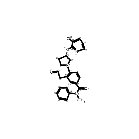 CN(C(=O)c1ccc(N2CC[C@H](Oc3ncccc3Cl)C2)c(CC=O)c1)c1ccccc1